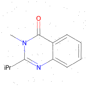 CC(C)c1nc2ccccc2c(=O)n1C